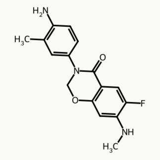 CNc1cc2c(cc1F)C(=O)N(c1ccc(N)c(C)c1)CO2